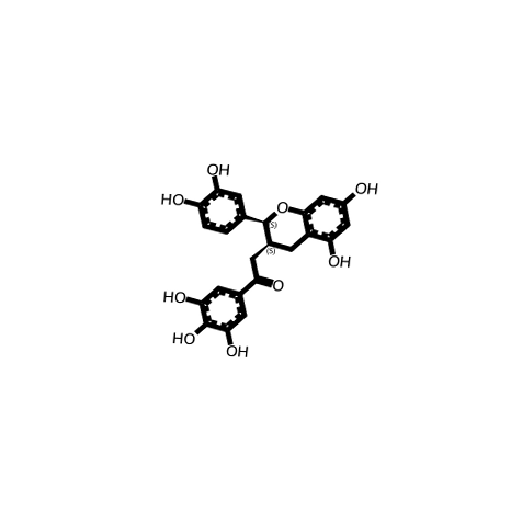 O=C(C[C@@H]1Cc2c(O)cc(O)cc2O[C@@H]1c1ccc(O)c(O)c1)c1cc(O)c(O)c(O)c1